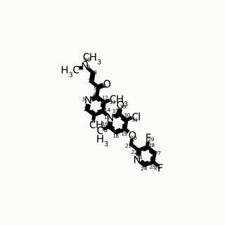 Cc1cnc(C(=O)/C=C/N(C)C)c(C)c1-n1c(C)cc(OCc2ncc(F)cc2F)c(Cl)c1=O